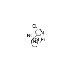 CCOC(=O)N1C2C=CC1CC(C#N)(c1cncc(Cl)c1)C2